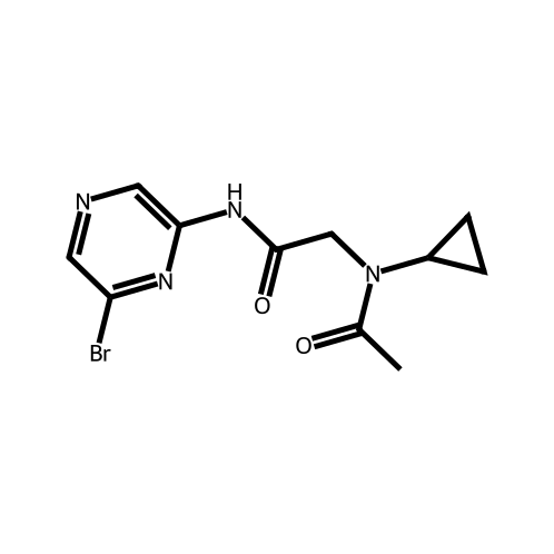 CC(=O)N(CC(=O)Nc1cncc(Br)n1)C1CC1